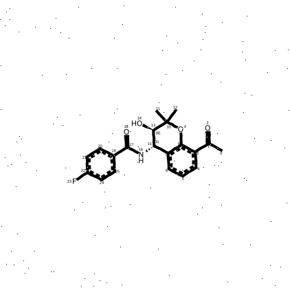 CC(=O)c1cccc2c1OC(C)(C)[C@H](O)[C@H]2NC(=O)c1ccc(F)cc1